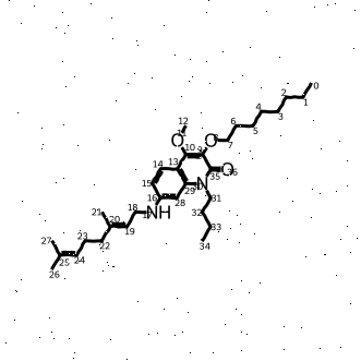 CCCCCCCCOc1c(OC)c2ccc(NC/C=C(\C)CCC=C(C)C)cc2n(CCCC)c1=O